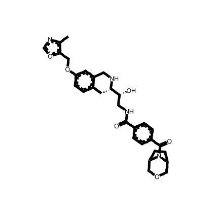 Cc1ncoc1COc1ccc2c(c1)CN[C@H]([C@H](O)CNC(=O)c1ccc(C(=O)N3C4CCC3COC4)cc1)C2